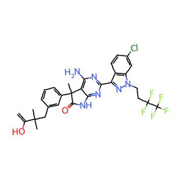 C=C(O)C(C)(C)Cc1cccc(C2(C)C(=O)Nc3nc(-c4nn(CCC(F)(F)C(F)(F)F)c5cc(Cl)ccc45)nc(N)c32)c1